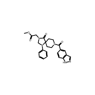 COC(=O)CN1CN(c2ccccc2)C2(CCN(C(=O)c3ccc4[nH]ncc4c3)CC2)C1=O